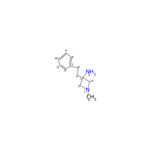 CN1CC(N)(CCc2ccccc2)C1